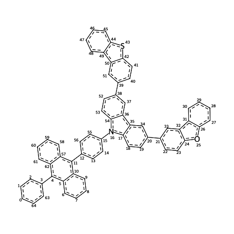 c1ccc(-c2c3ccccc3c(-c3ccc(-n4c5ccc(-c6ccc7oc8ccccc8c7c6)cc5c5cc(-c6ccc7sc8ccccc8c7c6)ccc54)cc3)c3ccccc23)cc1